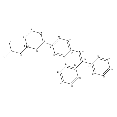 C[C](C)CN1CCO[C@H](c2ccc(N=C(c3ccccc3)c3ccccc3)cc2)C1